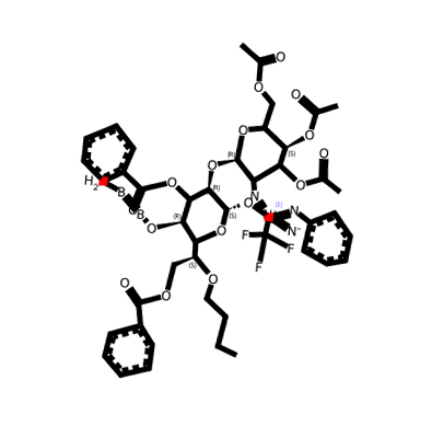 CCCCO[C@@H](COC(=O)c1ccccc1)C1O[C@@H](O/C(=N/c2ccccc2)C(F)(F)F)[C@H](O[C@H]2OC(COC(C)=O)[C@@H](OC(C)=O)C(OC(C)=O)C2N=[N+]=[N-])C(OC(=O)c2ccccc2)[C@@H]1OB=BP